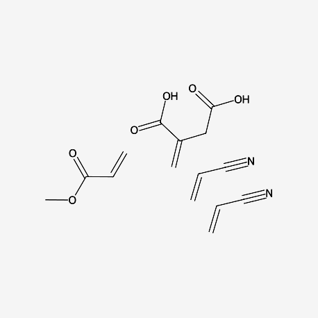 C=C(CC(=O)O)C(=O)O.C=CC#N.C=CC#N.C=CC(=O)OC